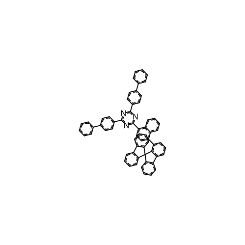 c1ccc(-c2ccc(-c3nc(-c4ccc(-c5ccccc5)cc4)nc(-c4ccc(-c5cccc6c5C5(c7ccccc7-c7ccccc75)c5ccccc5-6)c5ccccc45)n3)cc2)cc1